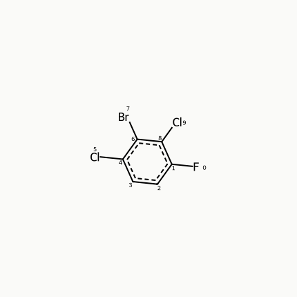 Fc1ccc(Cl)c(Br)c1Cl